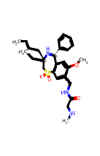 CCCC[C@]1(CC)CS(=O)(=O)c2cc(CNC(=O)CNC)c(OC)cc2[C@@H](c2ccccc2)N1